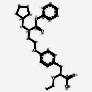 CCOC(Cc1ccc(OCCN(CC2CCCC2)C(=O)Oc2ccccc2)cc1)C(=O)O